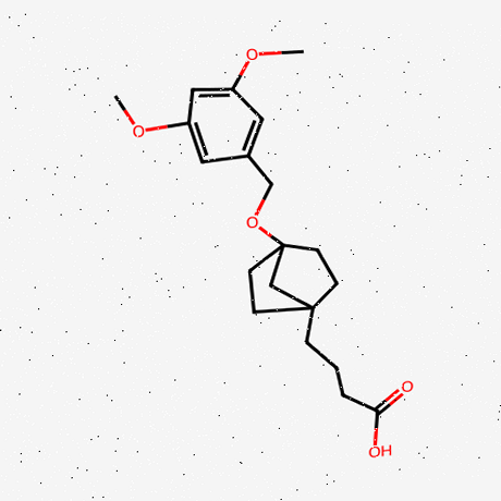 COc1cc(COC23CCC(CCCC(=O)O)(CC2)C3)cc(OC)c1